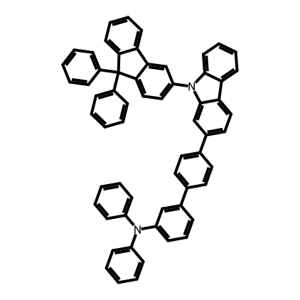 c1ccc(N(c2ccccc2)c2cccc(-c3ccc(-c4ccc5c6ccccc6n(-c6ccc7c(c6)-c6ccccc6C7(c6ccccc6)c6ccccc6)c5c4)cc3)c2)cc1